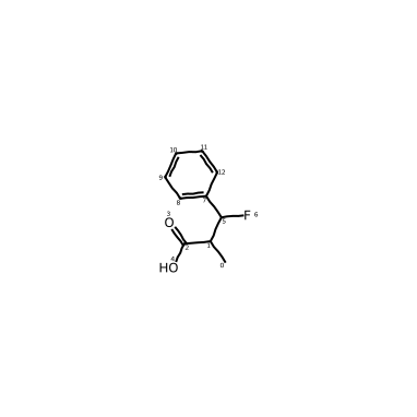 CC(C(=O)O)C(F)c1ccccc1